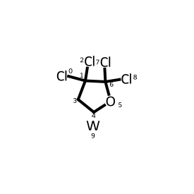 ClC1(Cl)CCOC1(Cl)Cl.[W]